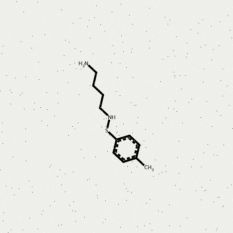 Cc1ccc(SNCCCCN)cc1